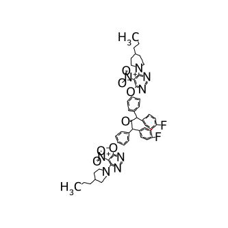 CCCC1CCN(c2ncnc(Oc3ccc(C(C(=O)C(c4ccc(F)cc4)c4ccc(Oc5ncnc(N6CCC(CCC)CC6)c5[N+](=O)[O-])cc4)c4ccc(F)cc4)cc3)c2[N+](=O)[O-])CC1